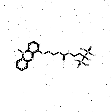 C[n+]1c2ccccc2nc2c(OCCCC(=O)NCCC(O)(P(=O)(O)O)P(=O)(O)O)cccc21